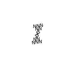 CN(C)c1nc(SSSSc2nc(N(C)C)nc(N(C)C)n2)nc(N(C)C)n1